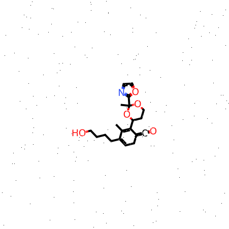 CC1=C(C2CCOC(C)(c3ncco3)O2)C(=C=O)CC=C1CCCCO